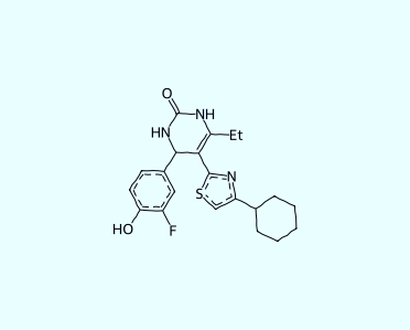 CCC1=C(c2nc(C3CCCCC3)cs2)C(c2ccc(O)c(F)c2)NC(=O)N1